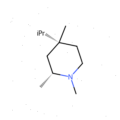 CC(C)[C@]1(C)CCN(C)[C@H](C)C1